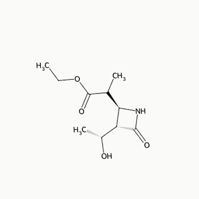 CCOC(=O)C(C)[C@H]1NC(=O)[C@@H]1[C@@H](C)O